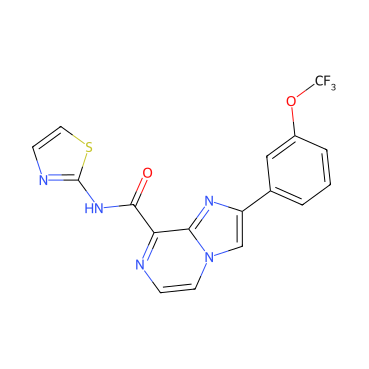 O=C(Nc1nccs1)c1nccn2cc(-c3cccc(OC(F)(F)F)c3)nc12